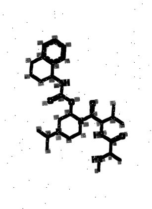 CNC(C)C(=O)NC(C(=O)N1CCN(C(C)C)CC1OC(=O)NC1CCCc2ccccc21)C(C)C